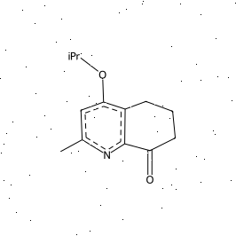 Cc1cc(OC(C)C)c2c(n1)C(=O)CCC2